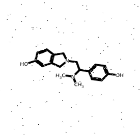 CN(C)C(CN1Cc2ccc(O)cc2C1)c1ccc(O)cc1